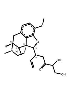 C=C[C@H](CC(=O)C(O)CO)[C@@H]1Oc2c(OC)ccc3c2[C@@]12CCN(C)[C@H](C3)[C@@H]2C